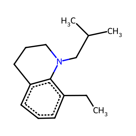 CCc1cccc2c1N(CC(C)C)CCC2